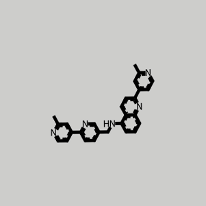 Cc1cc(-c2ccc(CNc3cccc4nc(-c5ccnc(C)c5)ccc34)cn2)ccn1